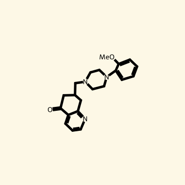 COc1ccccc1N1CCN(CC2CC(=O)c3cccnc3C2)CC1